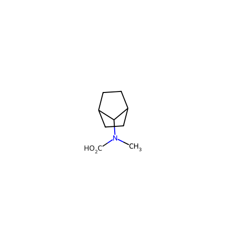 CN(C(=O)O)C1C2CCC1CC2